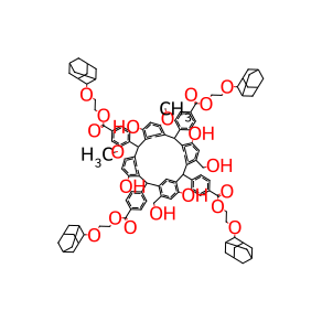 COc1cc(O)c2cc1C(c1ccc(C(=O)OCCOC3C4CC5CC(C4)CC3C5)cc1)c1cc(c(OC)cc1O)C(c1ccc(C(=O)OCCOC3C4CC5CC(C4)CC3C5)cc1)c1cc(c(CO)cc1O)C(c1ccc(C(=O)OCCOC3C4CC5CC(C4)CC3C5)cc1)c1cc(c(CO)cc1O)C2c1ccc(C(=O)OCCOC2C3CC4CC(C3)CC2C4)cc1